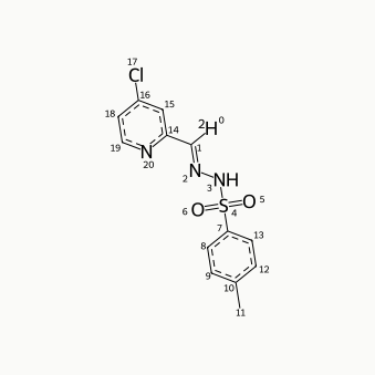 [2H]/C(=N\NS(=O)(=O)c1ccc(C)cc1)c1cc(Cl)ccn1